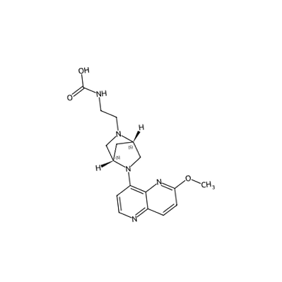 COc1ccc2nccc(N3C[C@@H]4C[C@H]3CN4CCNC(=O)O)c2n1